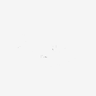 CCOC(=O)C1CCCC(N[C@@H]2COc3cc(C)ccc3[C@@H]2O)C1